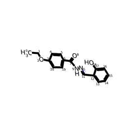 CCOc1ccc(C(=O)N/N=C/c2ccccc2O)cc1